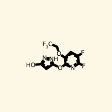 Oc1cc(Oc2nc(F)c(F)cc2OCC(F)(F)F)[nH]n1